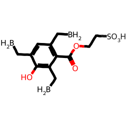 BCc1cc(CB)c(C(=O)OCCS(=O)(=O)O)c(CB)c1O